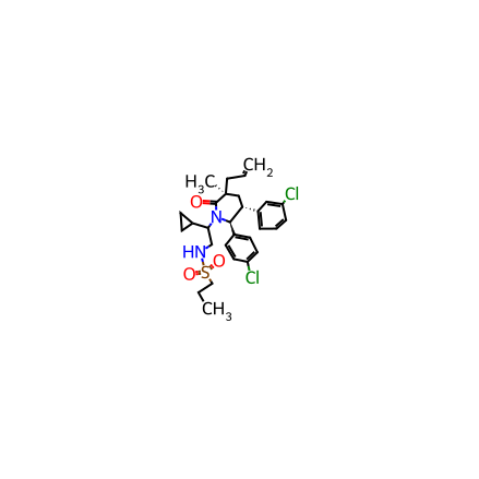 C=CC[C@@]1(C)C[C@H](c2cccc(Cl)c2)[C@@H](c2ccc(Cl)cc2)N(C(CNS(=O)(=O)CCC)C2CC2)C1=O